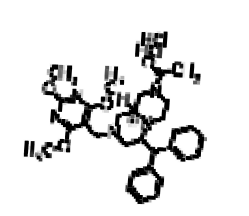 COc1nc(OC)c(CN2CC(C(c3ccccc3)c3ccccc3)N3CCN(C(C)=O)C[C@H]3C2)c(OC)n1.Cl.Cl